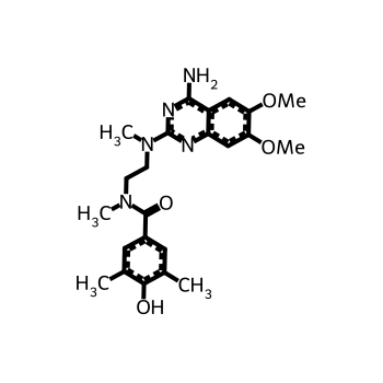 COc1cc2nc(N(C)CCN(C)C(=O)c3cc(C)c(O)c(C)c3)nc(N)c2cc1OC